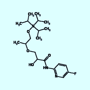 CC(CO[Si](C(C)C)(C(C)C)C(C)C)OCC(O)C(=O)Nc1ccc(F)cn1